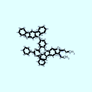 C=C/C=c1/oc2cc3c(cc2/c1=C/C)c1ccccc1n3-c1ccc(-n2c3ccccc3c3cc4c(cc32)oc2ccccc24)cc1-c1nc(-c2ccccc2)nc(-c2ccccc2)n1